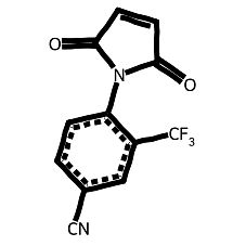 N#Cc1ccc(N2C(=O)C=CC2=O)c(C(F)(F)F)c1